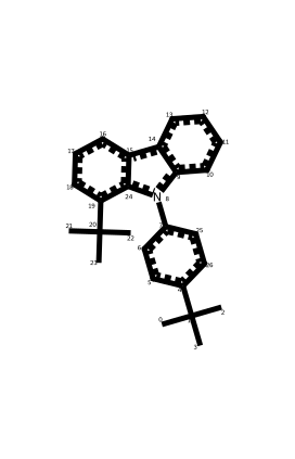 CC(C)(C)c1ccc(-n2c3ccccc3c3cccc(C(C)(C)C)c32)cc1